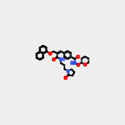 O=C(NCCCN1CCCC1=O)C(=Cc1ccc(C(=O)NOC2CCCCO2)cc1)COc1cccc2ccccc12